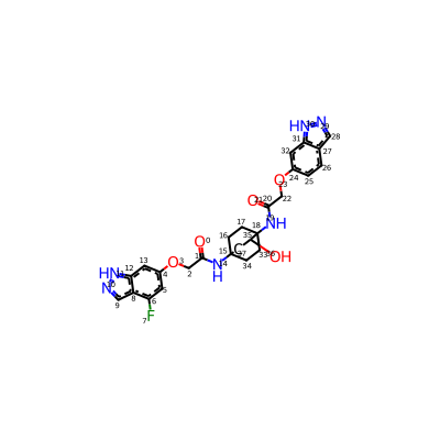 O=C(COc1cc(F)c2cn[nH]c2c1)NC12CCC(NC(=O)COc3ccc4cn[nH]c4c3)(CC1)C(O)C2